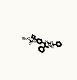 CC(C)(C)OC(=O)NC1(c2ccc(-c3nc4nc(-c5ccccc5)nn4cc3-c3ccccc3)cc2)CCC1